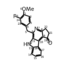 COc1ccc(Cc2nc3c(c4c2[nH]c2ccccc24)C(=O)CC3)cc1F